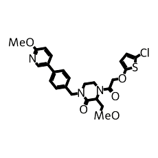 COCC1C(=O)N(Cc2ccc(-c3ccc(OC)nc3)cc2)CCN1C(=O)COc1ccc(Cl)s1